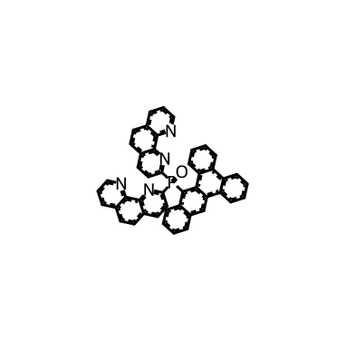 O=P(c1ccc2ccc3cccnc3c2n1)(c1ccc2ccc3cccnc3c2n1)c1c2ccccc2cc2c3ccccc3c3ccccc3c12